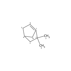 CC1(C)CC2CC=C1C2